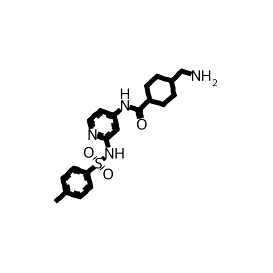 Cc1ccc(S(=O)(=O)Nc2cc(NC(=O)C3CCC(CN)CC3)ccn2)cc1